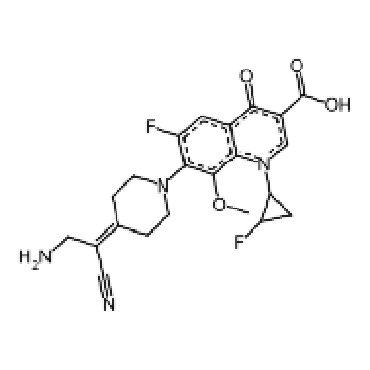 COc1c(N2CCC(=C(C#N)CN)CC2)c(F)cc2c(=O)c(C(=O)O)cn(C3CC3F)c12